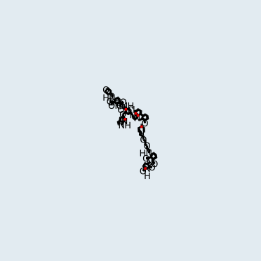 O=C1CCC(N2C(=O)c3cccc(NCCOCCOCCN4CCC(COc5cccc(-c6ccc(Cl)cc6)c5CN5CCN(c6ccc(C(=O)NS(=O)(=O)c7ccc(NCC8CCOCC8)c([N+](=O)O)c7)c(Oc7cnc8[nH]ccc8c7)c6)CC5)CC4)c3C2=O)C(=O)N1